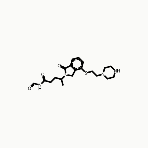 CC(CCC(=O)NC=O)N1Cc2c(SCCN3CCNCC3)cccc2C1=O